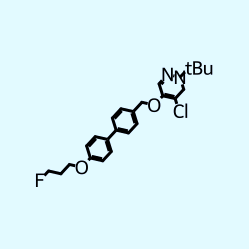 CC(C)(C)N1CC(Cl)=C(OCc2ccc(-c3ccc(OCCCF)cc3)cc2)C=N1